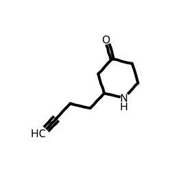 C#CCCC1CC(=O)CCN1